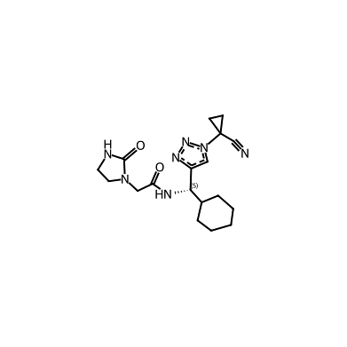 N#CC1(n2cc([C@@H](NC(=O)CN3CCNC3=O)C3CCCCC3)nn2)CC1